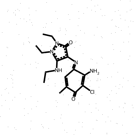 CCNc1c(N=C2C=C(C)C(=O)C(Cl)=C2N)c(=O)n(CC)n1CC